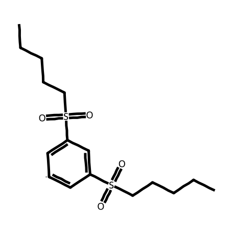 CCCCCS(=O)(=O)c1c[c]cc(S(=O)(=O)CCCCC)c1